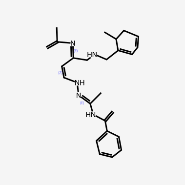 C=C(C)/N=C(\C=C/N/N=C(\C)NC(=C)c1ccccc1)CNCC1=CC=CCC1C